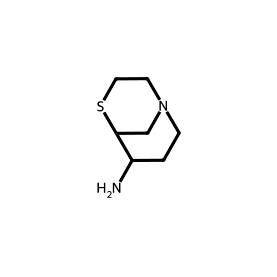 NC1CCN2CCSC1C2